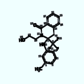 Cc1cccc(NC2(C(F)(F)F)Cc3ccccc3C(=O)N2CCO)c1